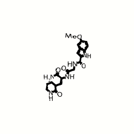 COc1ccc2[nH]c(C(=O)NCC(=O)NC(CC3CCCNC3=O)C(N)=O)cc2c1